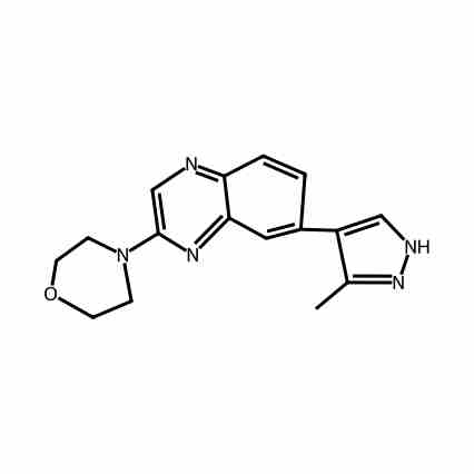 Cc1n[nH]cc1-c1ccc2ncc(N3CCOCC3)nc2c1